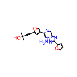 CC(C)(O)C#Cc1cc(C2=C[N+]3(N)N=C(c4ccco4)N=C3C=N2)co1